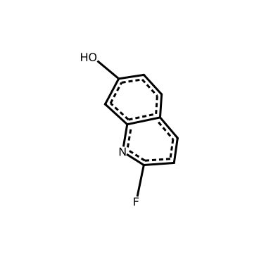 Oc1ccc2ccc(F)nc2c1